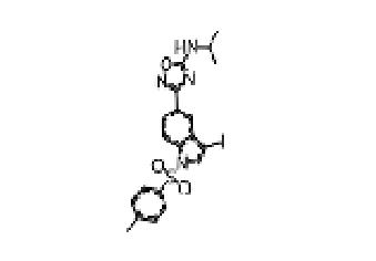 Cc1ccc(S(=O)(=O)n2cc(I)c3cc(-c4noc(NC(C)C)n4)ccc32)cc1